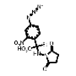 CCC(NN1C(=O)CCC1=O)(C(=O)O)c1ccc(N=[N+]=[N-])cc1[N+](=O)[O-]